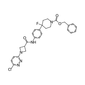 O=C(Nc1ccc(C2(F)CCN(C(=O)OCc3ccccc3)CC2)cc1)C1CN(c2ccc(Cl)nn2)C1